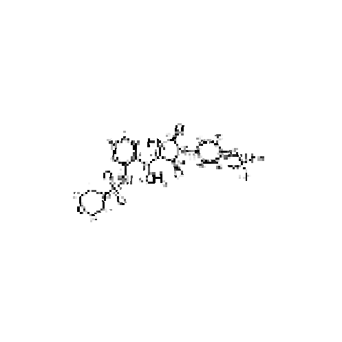 CC(c1ccncc1NS(=O)(=O)N1CCOCC1)C1NC(=O)N(c2ccc(SC(F)(F)F)cc2)C1=O